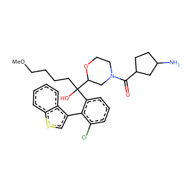 COCCCCC(O)(c1cccc(Cl)c1-c1csc2ccccc12)C1CN(C(=O)C2CCC(N)C2)CCO1